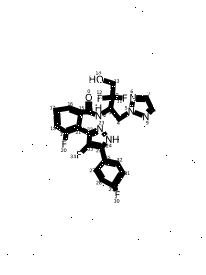 O=C(NC(Cn1nccn1)C(F)(F)CO)c1cccc(F)c1-c1n[nH]c(-c2ccc(F)cc2)c1F